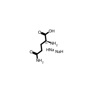 NC(=O)CC[C@H](N)C(=O)O.[NaH].[NaH]